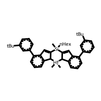 CCCCCC[Si]1(C)C2=Cc3c(-c4cccc(C(C)(C)C)c4)cccc3[CH]2[Hf]([CH3])([CH3])[CH]2C1=Cc1c(-c3cccc(C(C)(C)C)c3)cccc12